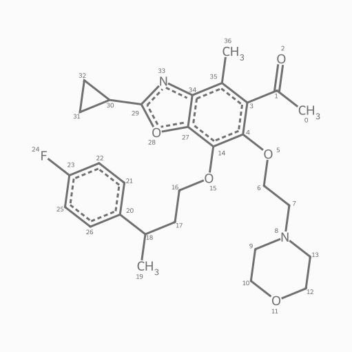 CC(=O)c1c(OCCN2CCOCC2)c(OCCC(C)c2ccc(F)cc2)c2oc(C3CC3)nc2c1C